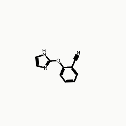 N#Cc1ccccc1Oc1ncc[nH]1